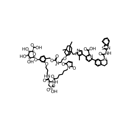 Cc1c(-c2ccc(-c3ccc4c(c3)N(C(=O)Nc3nc5ccccc5s3)CCC4)nc2C(=O)O)cnn1CC12CC3(C)CC(C)(C1)CC(OCCN(C)C(=O)OCc1ccc(O[C@@H]4O[C@H](C(=O)O)[C@@H](O)[C@H](O)[C@H]4O)cc1OCCCNC(=O)[C@H](CS(=O)(=O)O)NC(=O)CCCCCN1C(=O)C=CC1=O)(C3)C2